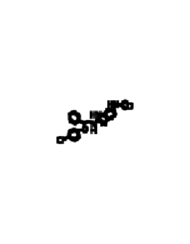 Clc1ccc(OC(CNc2nc3ccc(NC4COC4)cc3[nH]2)c2ccccc2)cc1